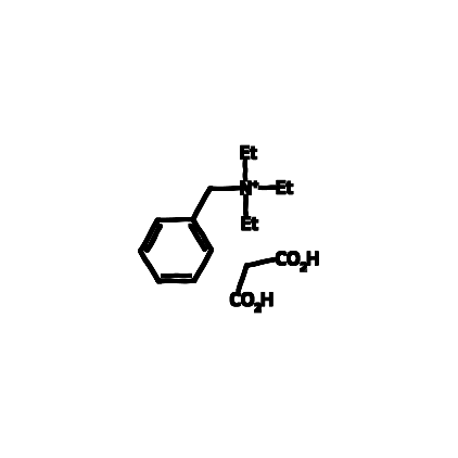 CC[N+](CC)(CC)Cc1ccccc1.O=C(O)CC(=O)O